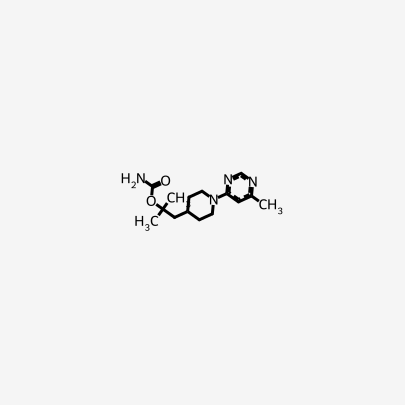 Cc1cc(N2CCC(CC(C)(C)OC(N)=O)CC2)ncn1